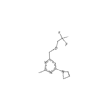 Cc1nc(COCC(C)(F)F)cc(N2CCC2)n1